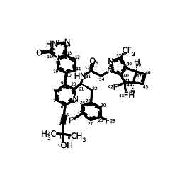 CC(C)(O)C#Cc1ccc(-c2ccc3n[nH]c(=O)n3c2)c([C@H](Cc2cc(F)cc(F)c2)NC(=O)Cn2nc(C(F)(F)F)c3c2C(F)(F)[C@@H]2C=C[C@H]32)n1